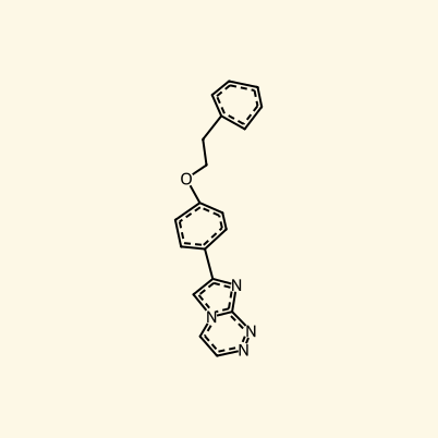 c1ccc(CCOc2ccc(-c3cn4ccnnc4n3)cc2)cc1